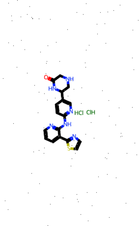 Cl.Cl.O=C1CNCC(c2ccc(Nc3ncccc3-c3nccs3)nc2)N1